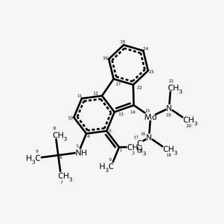 CC(C)=c1c(NC(C)(C)C)ccc2c1=[C]([Mo]([N](C)C)[N](C)C)c1ccccc1-2